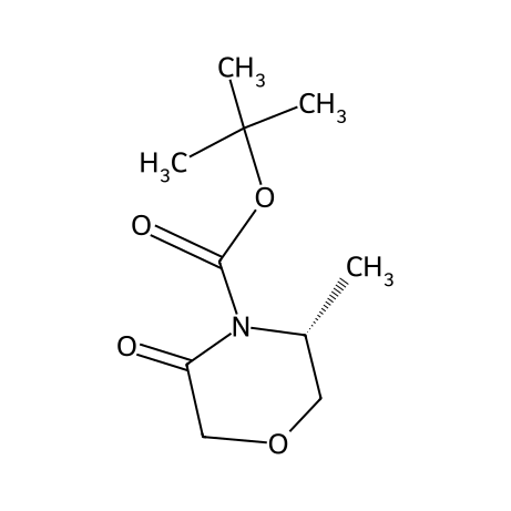 C[C@@H]1COCC(=O)N1C(=O)OC(C)(C)C